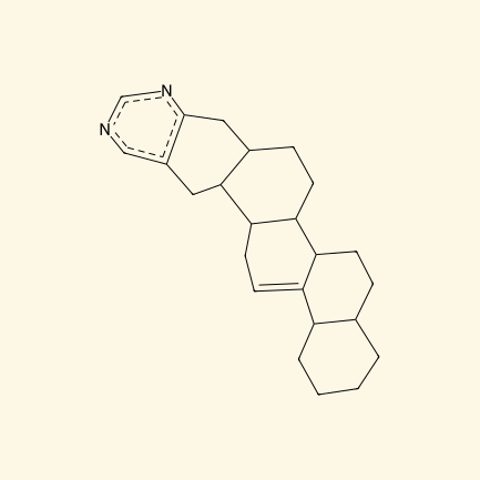 C1=C2C3CCCCC3CCC2C2CCC3Cc4ncncc4CC3C2C1